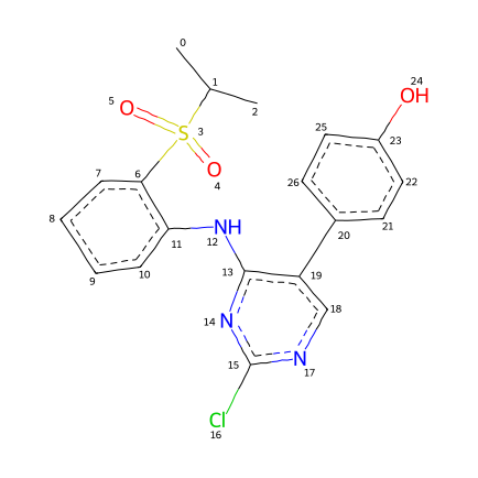 CC(C)S(=O)(=O)c1ccccc1Nc1nc(Cl)ncc1-c1ccc(O)cc1